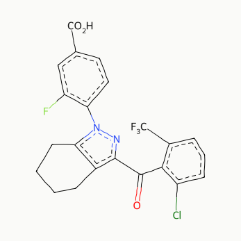 O=C(O)c1ccc(-n2nc(C(=O)c3c(Cl)cccc3C(F)(F)F)c3c2CCCC3)c(F)c1